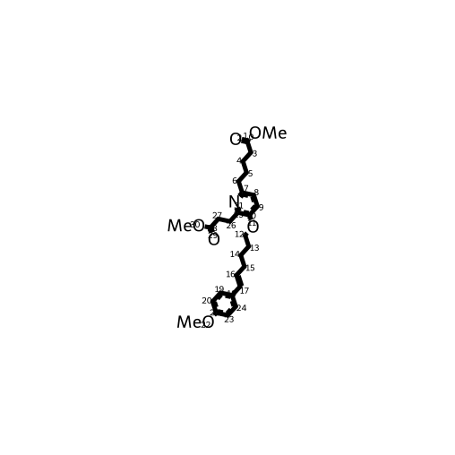 COC(=O)CCCCc1ccc(OCCCCC=Cc2ccc(OC)cc2)c(CCC(=O)OC)n1